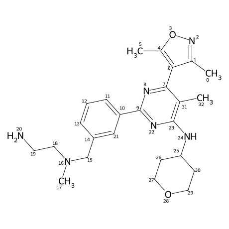 Cc1noc(C)c1-c1nc(-c2cccc(CN(C)CCN)c2)nc(NC2CCOCC2)c1C